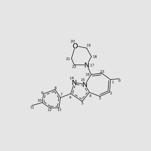 CC1=C=Cc2cc(-c3ccc(C)cc3)nn2C(N2CCOCC2)=C1